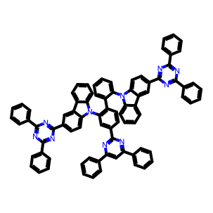 c1ccc(-c2cc(-c3ccccc3)nc(-c3ccc(-c4ccccc4-n4c5ccccc5c5cc(-c6nc(-c7ccccc7)nc(-c7ccccc7)n6)ccc54)c(-n4c5ccccc5c5cc(-c6nc(-c7ccccc7)nc(-c7ccccc7)n6)ccc54)c3)n2)cc1